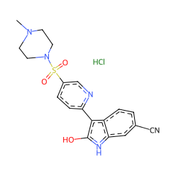 CN1CCN(S(=O)(=O)c2ccc(-c3c(O)[nH]c4cc(C#N)ccc34)nc2)CC1.Cl